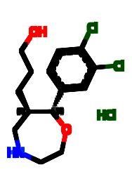 Cl.OCCC[C@@H]1CNCCO[C@H]1c1ccc(Cl)c(Cl)c1